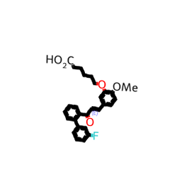 COc1ccc(/C=C/C(=O)c2ccccc2-c2cccc(F)c2)cc1OCCCCCC(=O)O